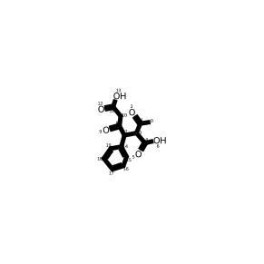 CC(=O)C(C(=O)O)C(C(=O)CC(=O)O)c1ccccc1